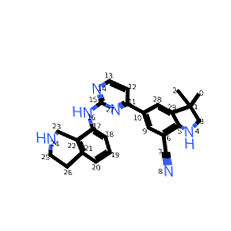 CC1(C)CNc2c(C#N)cc(-c3ccnc(Nc4cccc5c4CNCC5)n3)cc21